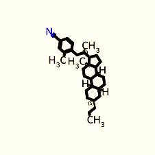 CCC[C@H]1CC[C@@H]2C3CC[C@@]4(C)C(CCC4[C@H](C)Cc4ccc(C#N)cc4C)[C@@H]3CC[C@@H]2C1